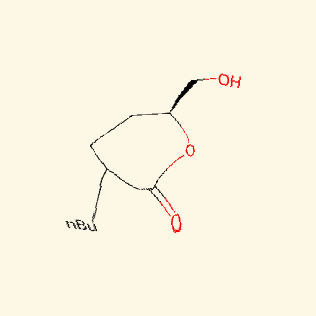 CCCCC1CC[C@@H](CO)OC1=O